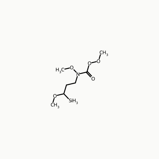 COOC(=O)N(CCC([SiH3])OC)OC